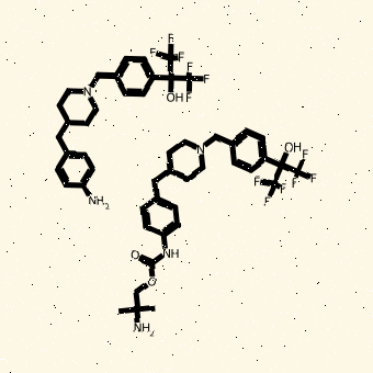 CC(C)(N)COC(=O)Nc1ccc(CC2CCN(Cc3ccc(C(O)(C(F)(F)F)C(F)(F)F)cc3)CC2)cc1.Nc1ccc(CC2CCN(Cc3ccc(C(O)(C(F)(F)F)C(F)(F)F)cc3)CC2)cc1